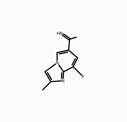 CC(=N)c1cc(F)c2nc(C)cn2c1